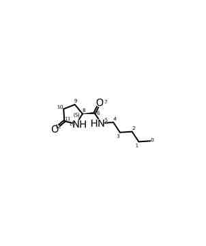 CCCCCNC(=O)[C@@H]1CCC(=O)N1